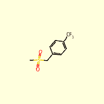 CS(=O)(=O)Cc1ccc(C(F)(F)F)cc1